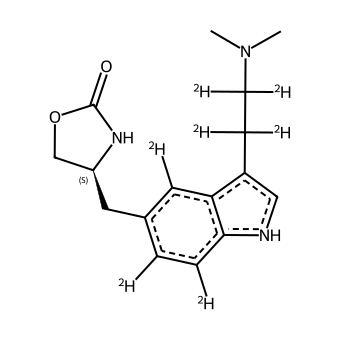 [2H]c1c(C[C@H]2COC(=O)N2)c([2H])c2c(C([2H])([2H])C([2H])([2H])N(C)C)c[nH]c2c1[2H]